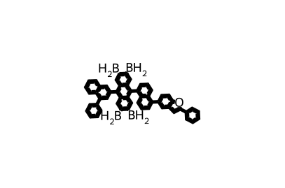 Bc1cc2c(-c3cc(-c4ccccc4)c4ccccc4c3)c3cc(B)c(B)cc3c(-c3cccc4c(-c5ccc6oc(-c7ccccc7)cc6c5)cccc34)c2cc1B